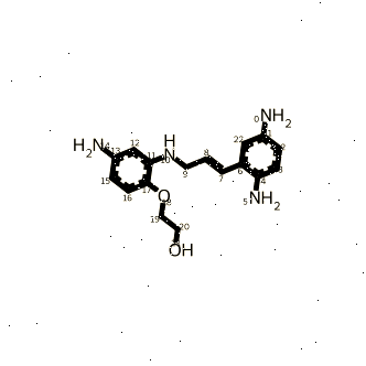 Nc1ccc(N)c(/C=C/CNc2cc(N)ccc2OCCO)c1